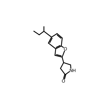 CCC(C)c1ccc2oc(C3CNC(=O)C3)cc2c1